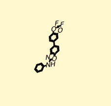 FC1(F)Oc2ccc(-c3ccc4oc(Nc5ccccc5)nc4c3)cc2O1